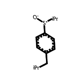 CC(C)Cc1ccc([S+]([O-])C(C)C)cc1